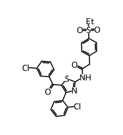 CCS(=O)(=O)c1ccc(CC(=O)Nc2nc(-c3ccccc3Cl)c(C(=O)c3cccc(Cl)c3)s2)cc1